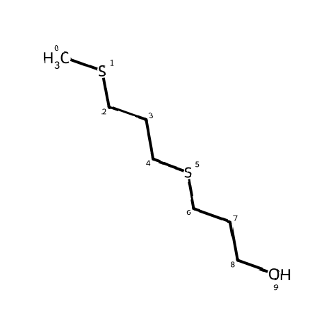 CSCCCSCCCO